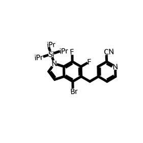 CC(C)[Si](C(C)C)(C(C)C)n1ccc2c(Br)c(Cc3ccnc(C#N)c3)c(F)c(F)c21